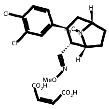 CO/N=C/[C@@H]1[C@@H](c2ccc(Cl)c(Cl)c2)C[C@@H]2CC[C@H]1N2C.O=C(O)/C=C\C(=O)O